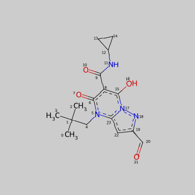 CC(C)(C)Cn1c(=O)c(C(=O)NC2CC2)c(O)n2nc(C=O)cc12